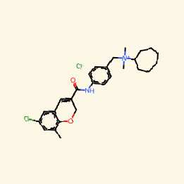 Cc1cc(Cl)cc2c1OCC(C(=O)Nc1ccc(C[N+](C)(C)C3CCCCCC3)cc1)=C2.[Cl-]